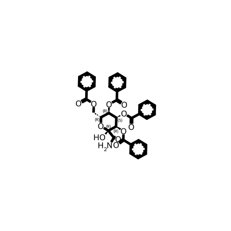 NC(=O)[C@]1(O)O[C@H](COC(=O)c2ccccc2)[C@@H](OC(=O)c2ccccc2)[C@H](OC(=O)c2ccccc2)[C@H]1OC(=O)c1ccccc1